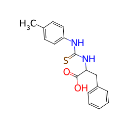 Cc1ccc(NC(=S)NC(Cc2ccccc2)C(=O)O)cc1